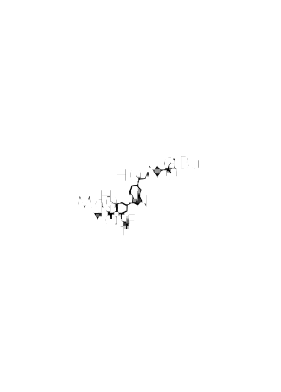 COc1cc(-c2cnc3cc(C(O)CCN4CC(C(=O)OC(C)(C)C)C4)ccn23)cc(OC(F)F)c1C(=O)NC1CC1